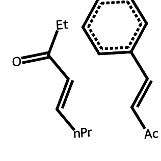 CC(=O)C=Cc1ccccc1.CCC/C=C/C(=O)CC